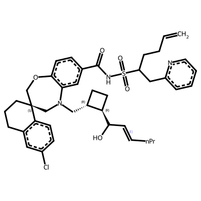 C=CCCC(Cc1ccccn1)S(=O)(=O)NC(=O)c1ccc2c(c1)N(C[C@@H]1CC[C@H]1C(O)/C=C/CCC)C[C@@]1(CCCc3cc(Cl)ccc31)CO2